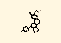 O=C(O)c1cn2c(cc1=O)-c1cc(-c3ccc(F)cc3)c3c(c1CC2)CCO3